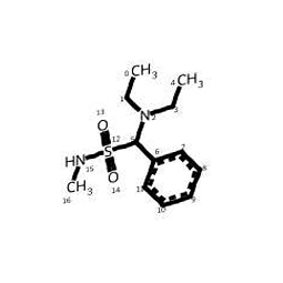 CCN(CC)C(c1ccccc1)S(=O)(=O)NC